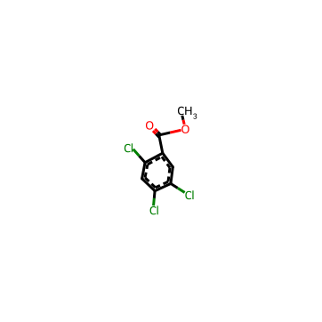 COC(=O)c1cc(Cl)c(Cl)cc1Cl